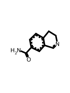 NC(=O)c1ccc2c(c1)C=NCC2